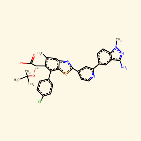 Cc1cc2nc(-c3ccnc(-c4ccc5c(c4)c(N)nn5C)c3)sc2c(-c2ccc(Cl)cc2)c1[C@H](OC(C)(C)C)C(=O)O